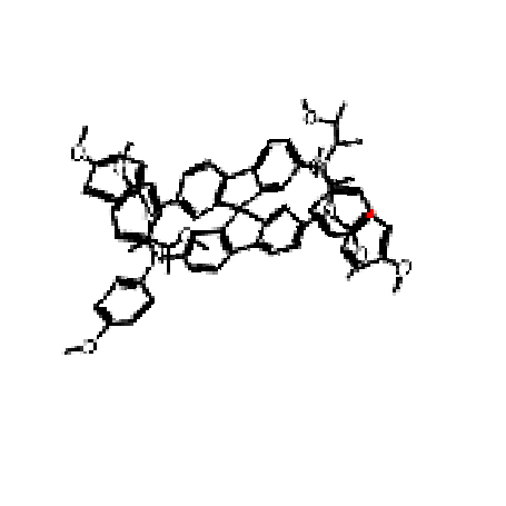 COc1ccc(N(c2ccc(OC)cc2)c2ccc3c(c2)C2(c4cc(N(c5ccc(OC)cc5)C(C)OC)ccc4-3)c3cc(N(c4ccc(OC)cc4)C(C)C(C)OC)ccc3-c3ccc(N(c4ccc(OC)cc4)C(C)C(C)OC)cc32)cc1